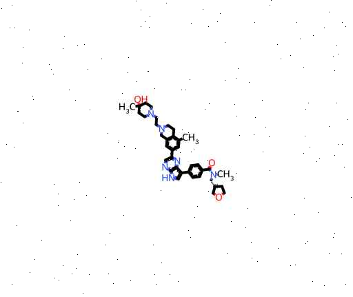 Cc1cc(-c2cnc3[nH]cc(-c4ccc(C(=O)N(C)C[C@@H]5CCOC5)cc4)c3n2)cc2c1CCN(CCN1CCC(C)(O)CC1)C2